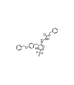 O=C(NC1CN1C(=O)[C@H](Cc1ccc(OCc2ccccc2)cc1)NC(=O)C(F)(F)F)OCc1ccccc1